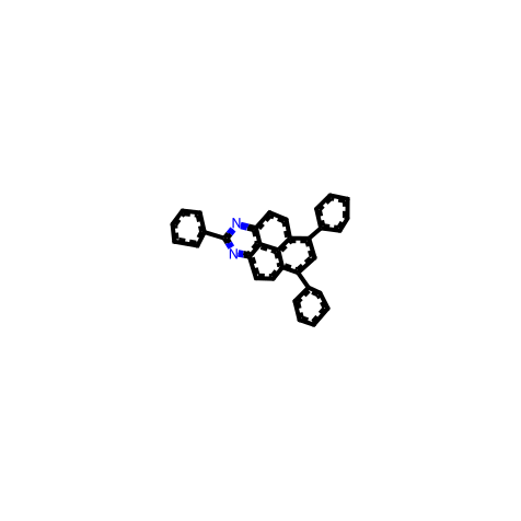 c1ccc(-c2nc3ccc4c(-c5ccccc5)cc(-c5ccccc5)c5ccc(n2)c3c45)cc1